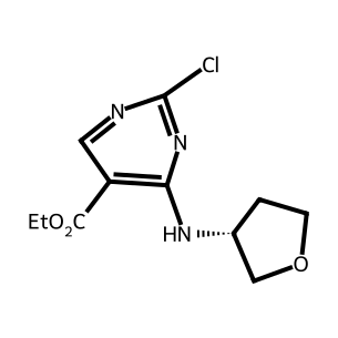 CCOC(=O)c1cnc(Cl)nc1N[C@@H]1CCOC1